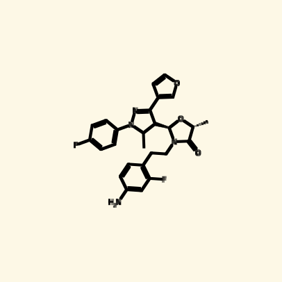 CC1C([C@H]2O[C@H](C)C(=O)N2CCc2ccc(N)cc2F)C(c2ccoc2)=NN1c1ccc(F)cc1